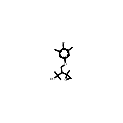 Cc1cc(OCC(C(C)(C)O)C2(C)CO2)cc(C)c1Br